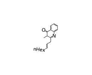 CCCCCCC=CCC1=Nc2ccccc2C(=O)C1C